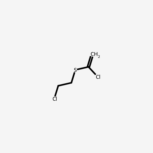 C=C(Cl)SCCCl